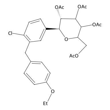 CCOc1ccc(Cc2cc([C@@H]3OC(COC(C)=O)C(OC(C)=O)C(OC(C)=O)[C@H]3OC(C)=O)ccc2Cl)cc1